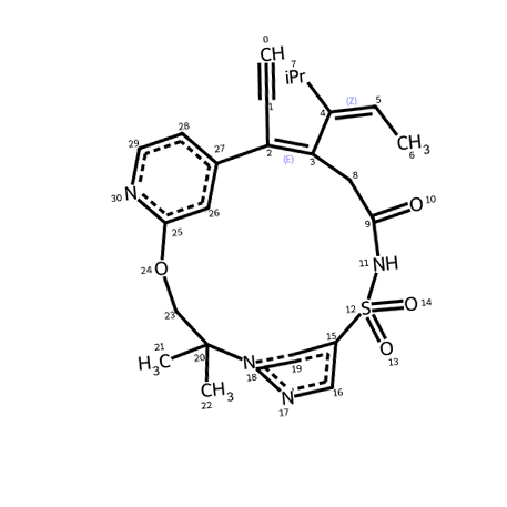 C#C/C1=C(\C(=C/C)C(C)C)CC(=O)NS(=O)(=O)c2cnn(c2)C(C)(C)COc2cc1ccn2